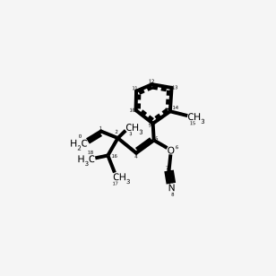 C=CC(C)(/C=C(/OC#N)c1ccccc1C)C(C)C